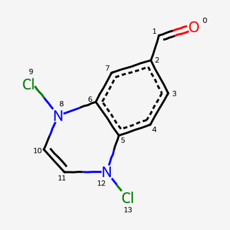 O=Cc1ccc2c(c1)N(Cl)C=CN2Cl